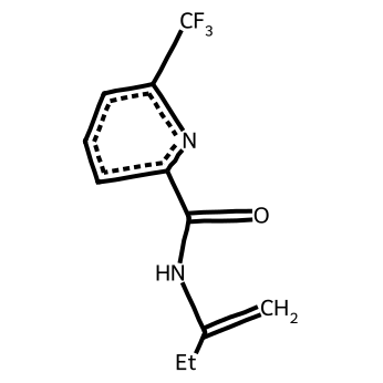 C=C(CC)NC(=O)c1cccc(C(F)(F)F)n1